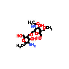 CC[C@@H]1OC(CO)[C@@H](COC[C@@H]2OC(CO)[C@@H](COC)[C@@H](O)C2NC(C)=O)C(O)[C@@H]1N